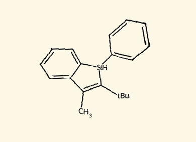 CC1=C(C(C)(C)C)[SiH](c2ccccc2)c2ccccc21